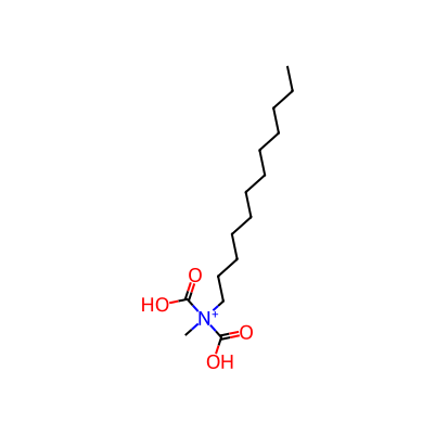 CCCCCCCCCCCC[N+](C)(C(=O)O)C(=O)O